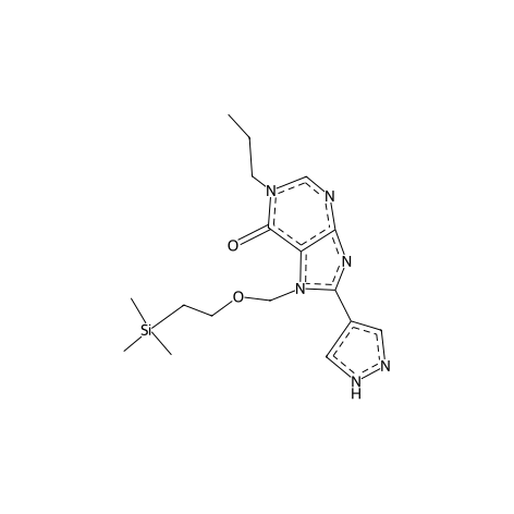 CCCn1cnc2nc(-c3cn[nH]c3)n(COCC[Si](C)(C)C)c2c1=O